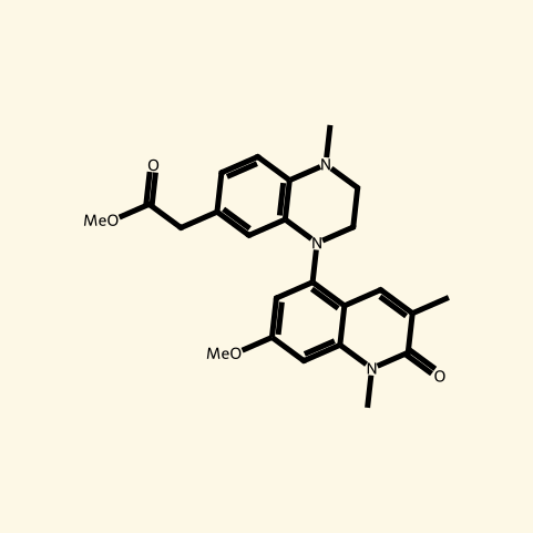 COC(=O)Cc1ccc2c(c1)N(c1cc(OC)cc3c1cc(C)c(=O)n3C)CCN2C